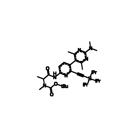 Cc1nc(N(C)C)nc(C)c1-c1ccc(NC(=O)C(C)N(C)C(=O)OC(C)(C)C)nc1C#C[Si](C(C)C)(C(C)C)C(C)C